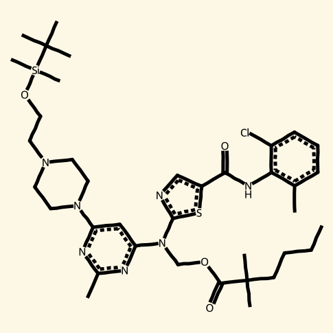 CCCCC(C)(C)C(=O)OCN(c1cc(N2CCN(CCO[Si](C)(C)C(C)(C)C)CC2)nc(C)n1)c1ncc(C(=O)Nc2c(C)cccc2Cl)s1